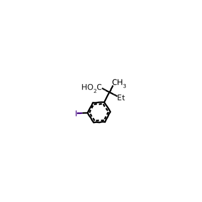 CCC(C)(C(=O)O)c1cccc(I)c1